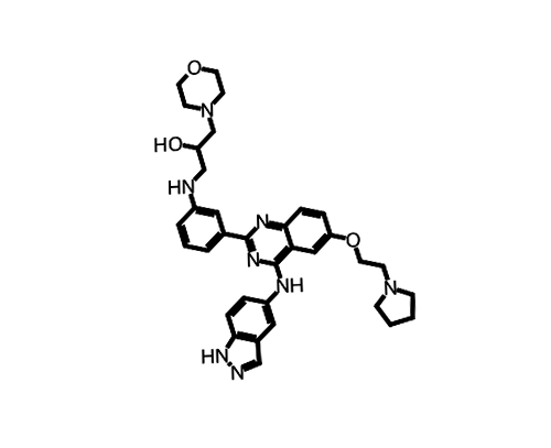 OC(CNc1cccc(-c2nc(Nc3ccc4[nH]ncc4c3)c3cc(OCCN4CCCC4)ccc3n2)c1)CN1CCOCC1